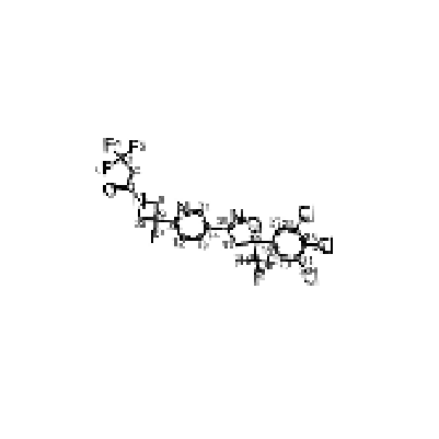 O=C(CC(F)(F)F)N1CC(F)(c2ccc(C3=NOC(c4cc(Cl)c(Cl)c(Cl)c4)(C(F)(F)F)C3)cn2)C1